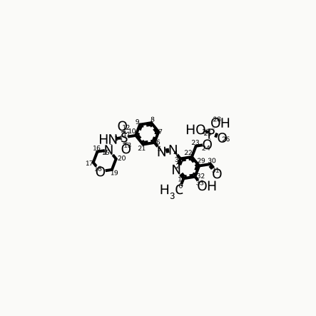 Cc1nc(N=Nc2cccc(S(=O)(=O)NN3CCOCC3)c2)c(COP(=O)(O)O)c(C=O)c1O